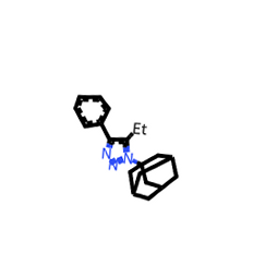 CCc1c(-c2ccccc2)nnn1C12CC3CC(CC(C3)C1)C2